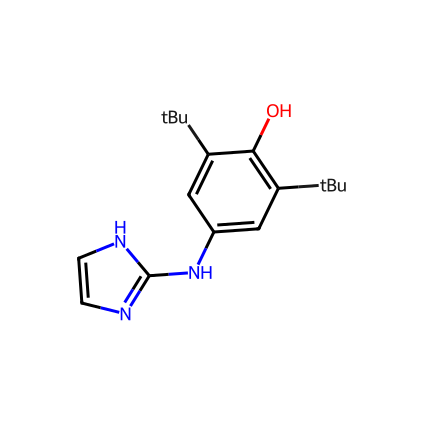 CC(C)(C)c1cc(Nc2ncc[nH]2)cc(C(C)(C)C)c1O